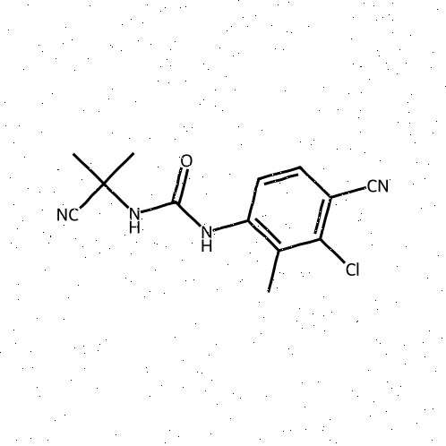 Cc1c(NC(=O)NC(C)(C)C#N)ccc(C#N)c1Cl